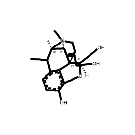 CC1c2ccc(O)c3c2[C@]24CCN(C)[C@@]1(C)[C@@H]2C=CC(O)(O)[C@@H]4O3